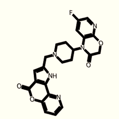 O=C1COc2ncc(F)cc2N1C1CCN(Cc2cc3c(=O)oc4cccnc4c3[nH]2)CC1